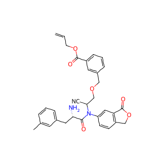 C=CCOC(=O)c1cccc(COCC(C#N)N(C(=O)[C@@H](N)Cc2cccc(C)c2)c2ccc3c(c2)C(=O)OC3)c1